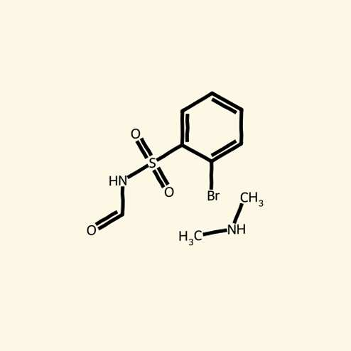 CNC.O=CNS(=O)(=O)c1ccccc1Br